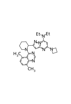 CCN(CC)c1cc(N2CCC2)nc2cc(C3CCCCN3c3ncnc4c(C)ccc(C)c34)nn12